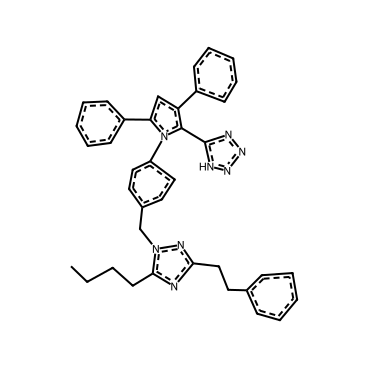 CCCCc1nc(CCc2ccccc2)nn1Cc1ccc(-n2c(-c3ccccc3)cc(-c3ccccc3)c2-c2nnn[nH]2)cc1